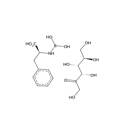 O=C(CO)[C@@H](O)[C@H](O)[C@H](O)CO.O=C(O)[C@H](Cc1ccccc1)NB(O)O